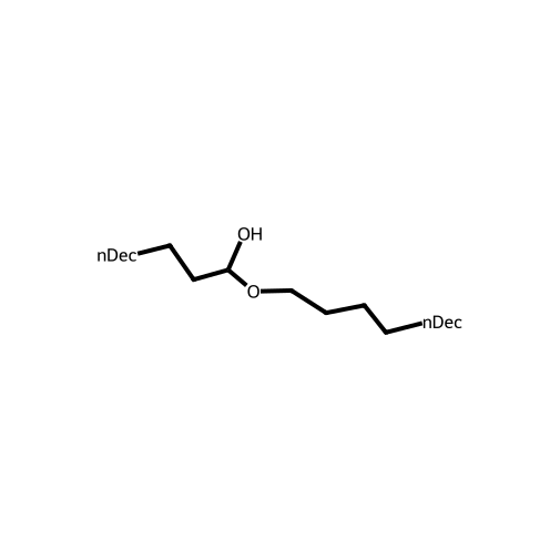 CCCCCCCCCCCCCCOC(O)CCCCCCCCCCCC